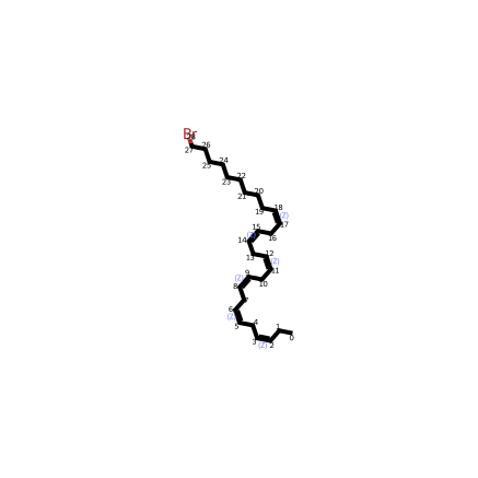 CC/C=C\C/C=C\C/C=C\C/C=C\C/C=C\C/C=C\CCCCCCCCCBr